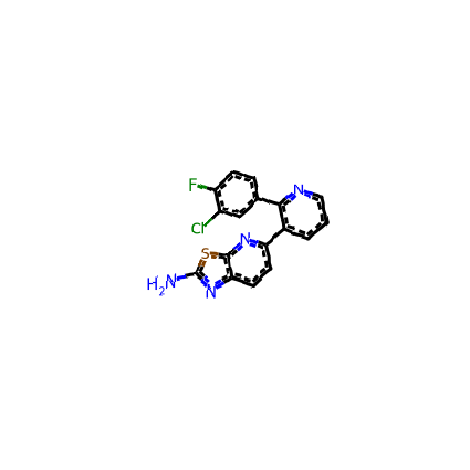 Nc1nc2ccc(-c3cccnc3-c3ccc(F)c(Cl)c3)nc2s1